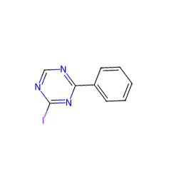 Ic1ncnc(-c2ccccc2)n1